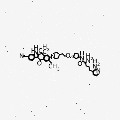 CCc1cc2c(cc1N1CCC(CCOC[C@H]3CC[C@@H](NC(=O)[C@@H](N)CCCc4cccnc4N)C3)CC1)C(C)(C)c1[nH]c3cc(C#N)ccc3c1C2=O